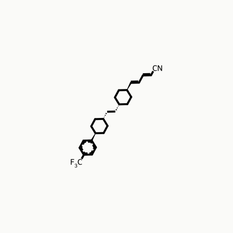 N#CC=CC=C[C@H]1CC[C@H](CC[C@H]2CC[C@H](c3ccc(C(F)(F)F)cc3)CC2)CC1